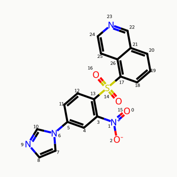 O=[N+]([O-])c1cc(-n2ccnc2)ccc1S(=O)(=O)c1cccc2cnccc12